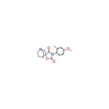 COc1ccc(N2C(=O)OC3(CN4CCC3CC4)C2=O)c(C)c1